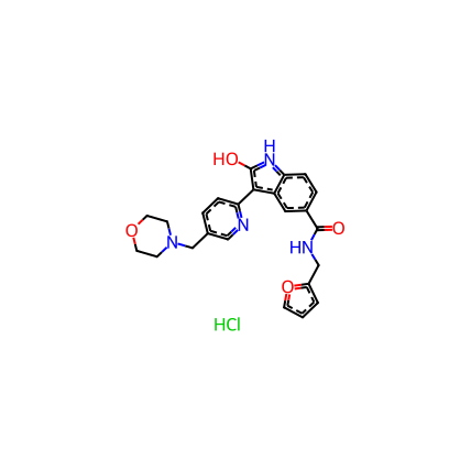 Cl.O=C(NCc1ccco1)c1ccc2[nH]c(O)c(-c3ccc(CN4CCOCC4)cn3)c2c1